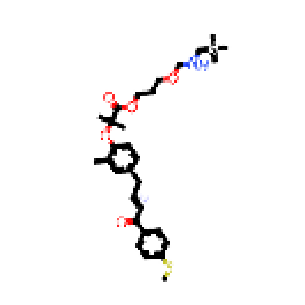 CSc1ccc(C(=O)/C=C/Cc2ccc(OC(C)(C)C(=O)OCCCOCNC[Si](C)(C)C)c(C)c2)cc1